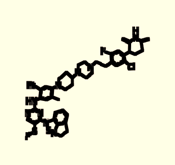 C=C1CCC(c2cc(F)c(CCN3CCN(C4CCN(c5cc(CC)c(Nc6ncc(SF)c(N7SN8CCc9cccc7c98)n6)cc5C)CC4)CC3)cc2Cl)C(=C)N1